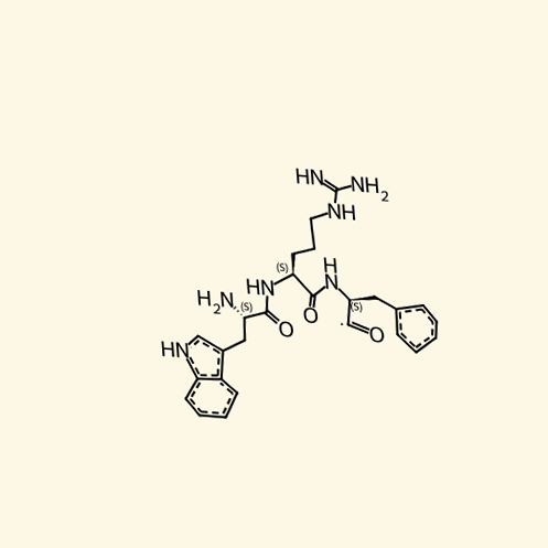 N=C(N)NCCC[C@H](NC(=O)[C@@H](N)Cc1c[nH]c2ccccc12)C(=O)N[C@H]([C]=O)Cc1ccccc1